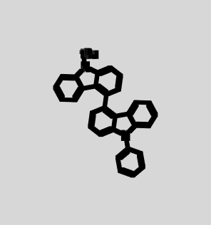 CC(C)(C)n1c2ccccc2c2c(-c3cccc4c3c3ccccc3n4-c3ccccc3)cccc21